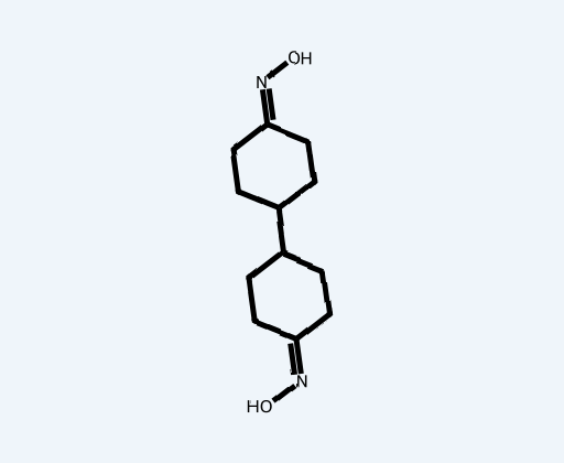 ON=C1CCC(C2CCC(=NO)CC2)CC1